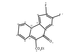 CCOC(=O)c1c(=O)c2cc(F)c(F)cc2n2ccccc12